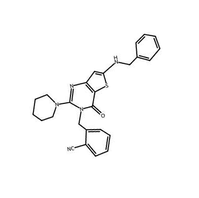 N#Cc1ccccc1Cn1c(N2CCCCC2)nc2cc(NCc3ccccc3)sc2c1=O